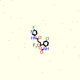 O=C(CCC1(C(F)(F)F)OC(=O)Nc2ccc(Cl)cc21)Nc1ccc(F)nc1